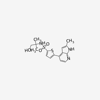 Cc1cc2c(-c3ccc(S(=O)(=O)NC(C)(C)CO)s3)ccnc2[nH]1